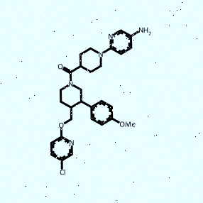 COc1ccc(C2CN(C(=O)C3CCN(c4ccc(N)cn4)CC3)CCC2COc2ccc(Cl)cn2)cc1